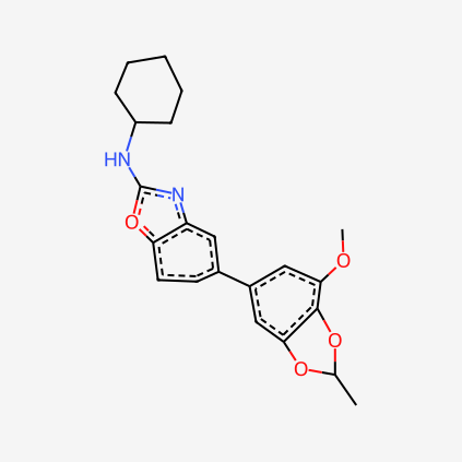 COc1cc(-c2ccc3oc(NC4CCCCC4)nc3c2)cc2c1OC(C)O2